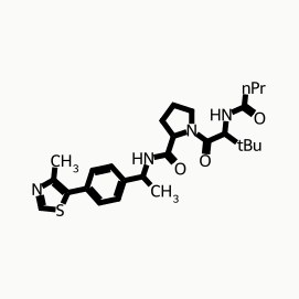 CCCC(=O)NC(C(=O)N1CCCC1C(=O)NC(C)c1ccc(-c2scnc2C)cc1)C(C)(C)C